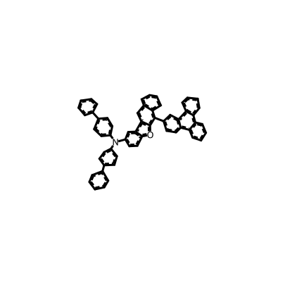 c1ccc(-c2ccc(N(c3ccc(-c4ccccc4)cc3)c3ccc4oc5c(-c6ccc7c8ccccc8c8ccccc8c7c6)c6ccccc6cc5c4c3)cc2)cc1